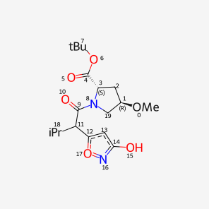 CO[C@@H]1C[C@@H](C(=O)OC(C)(C)C)N(C(=O)C(c2cc(O)no2)C(C)C)C1